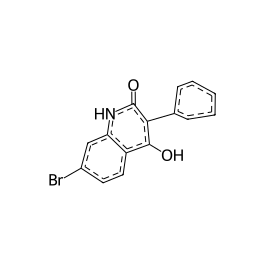 O=c1[nH]c2cc(Br)ccc2c(O)c1-c1ccccc1